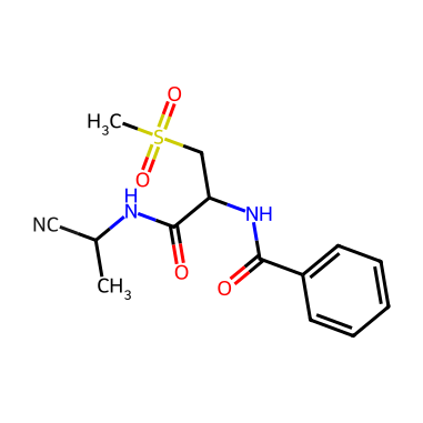 CC(C#N)NC(=O)C(CS(C)(=O)=O)NC(=O)c1ccccc1